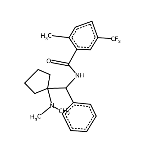 Cc1ccc(C(F)(F)F)cc1C(=O)NC(c1ccccc1)C1(N(C)C)CCCC1